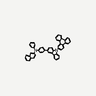 c1ccc(N(c2ccc(-c3ccc4c(c3)c3ccccc3n4-c3ccc4c5ccccc5c5ccccc5c4c3)cc2)c2ccc3ccccc3c2)cc1